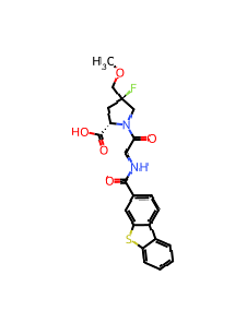 COC[C@@]1(F)C[C@@H](C(=O)O)N(C(=O)CNC(=O)c2ccc3c(c2)sc2ccccc23)C1